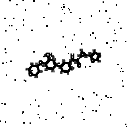 Cc1cc(-c2ccnc(NC(=O)[C@@H]3C[C@H]3c3cnco3)c2)ccc1OC1CCOCC1